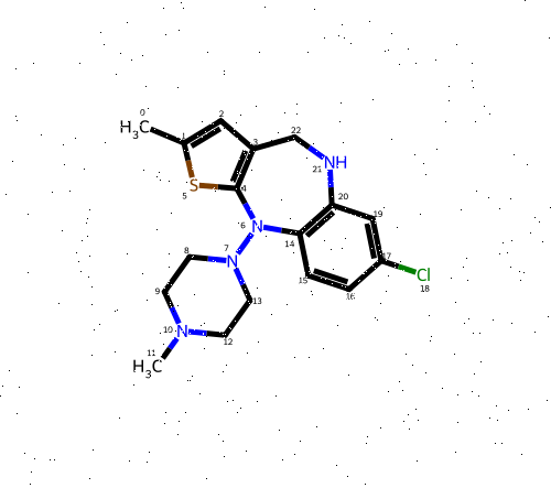 Cc1cc2c(s1)N(N1CCN(C)CC1)c1ccc(Cl)cc1NC2